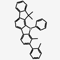 Cc1ccccc1-c1ccc2c3ccc4c(c3n(-c3ccccc3)c2c1C)C(C)(C)c1ccccc1-4